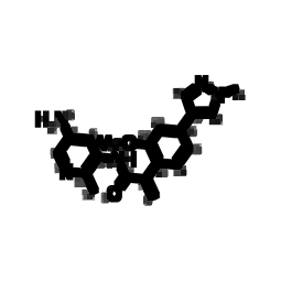 C=C(C(=O)Nc1cc(N)cnc1C)c1ccc(-c2cnn(C)c2)cc1OC